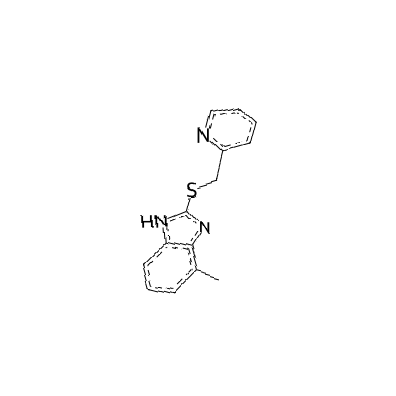 Cc1cccc2[nH]c(SCc3ccccn3)nc12